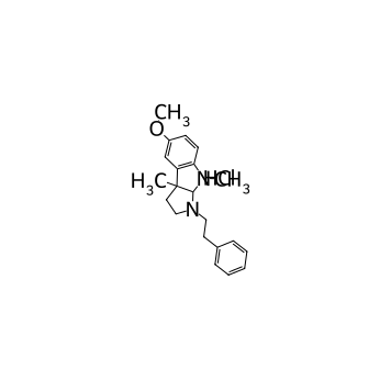 COc1ccc2c(c1)C1(C)CCN(CCc3ccccc3)C1N2C.Cl